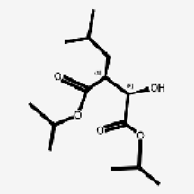 CC(C)C[C@H](C(=O)OC(C)C)[C@@H](O)C(=O)OC(C)C